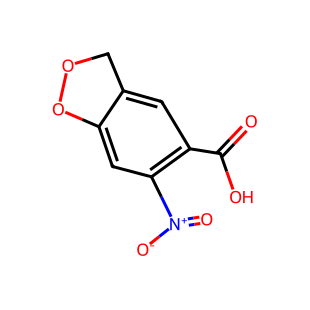 O=C(O)c1cc2c(cc1[N+](=O)[O-])OOC2